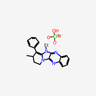 CCN1C2=C(c3ccccc3)C(C)CCN2c2nc3ccccc3nc21.[O-][Cl+3]([O-])([O-])O